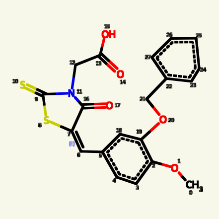 COc1ccc(/C=C2/SC(=S)N(CC(=O)O)C2=O)cc1OCc1ccccc1